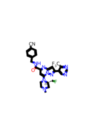 CN1CCN(c2cc(C(=O)NCc3ccc(C#N)cc3)nc3cc(-c4cncnc4C(F)(F)F)nn23)[C@H](CF)C1